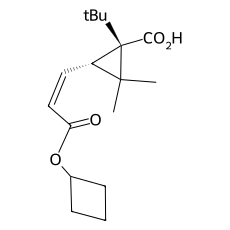 CC(C)(C)[C@]1(C(=O)O)[C@@H](/C=C\C(=O)OC2CCC2)C1(C)C